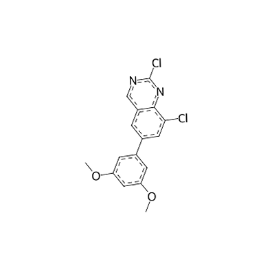 COc1cc(OC)cc(-c2cc(Cl)c3nc(Cl)ncc3c2)c1